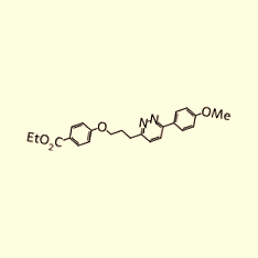 CCOC(=O)c1ccc(OCCCc2ccc(-c3ccc(OC)cc3)nn2)cc1